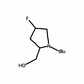 CC(C)(C)N1CC(F)CC1CO